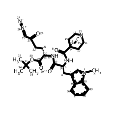 Cn1cc(C[C@H](NC(=O)C23CCN(CC2)CC3)C(=O)N[C@@H](CCC(=O)C=[N+]=[N-])C(=O)OC(C)(C)C)c2ccccc21